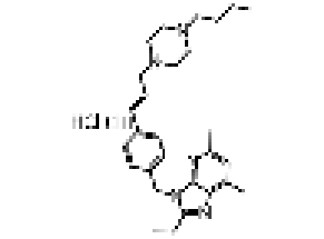 CCCCN1CCN(CC=Cc2ccc(Cn3c(CC)nc4c(C)cc(C)nc43)cc2)CC1.Cl.Cl